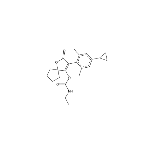 CCNC(=O)OC1=C(c2c(C)cc(C3CC3)cc2C)C(=O)OC12CCCC2